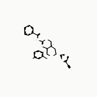 N#Cc1coc([C@H]2C[C@H]3CSC(NC(=O)c4ccccc4)=N[C@@]3(c3ccc(F)cc3F)CO2)n1